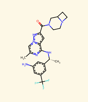 Cc1cn2nc(C(=O)N3CCN4CCC4C3)cc2c(N[C@H](C)c2cc(N)cc(C(F)(F)F)c2)n1